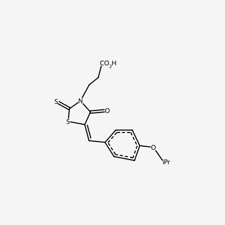 CC(C)Oc1ccc(C=C2SC(=S)N(CCC(=O)O)C2=O)cc1